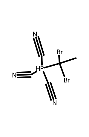 CC(Br)(Br)[PH](C#N)(C#N)C#N